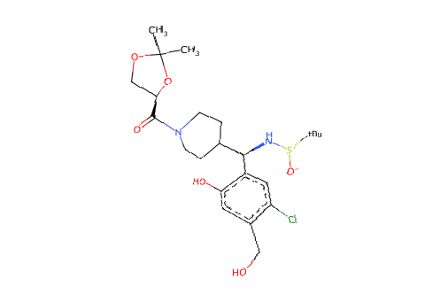 CC1(C)OC[C@H](C(=O)N2CCC([C@@H](N[S+]([O-])C(C)(C)C)c3cc(Cl)c(CO)cc3O)CC2)O1